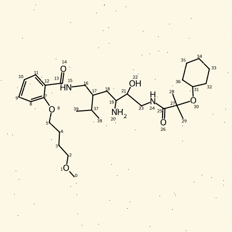 COCCCCOc1ccccc1C(=O)NCC(CC(N)C(O)CNC(=O)C(C)(C)OC1CCCCC1)C(C)C